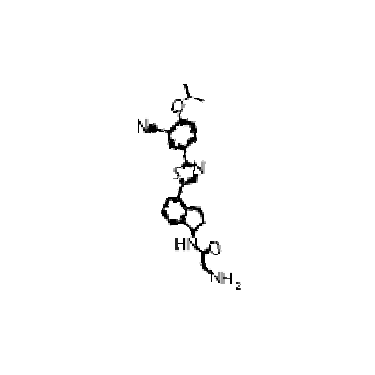 CC(C)Oc1ccc(-c2ncc(-c3cccc4c3CCC4NC(=O)CN)s2)cc1C#N